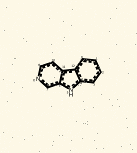 [c]1cccc2[nH]c3cnccc3c12